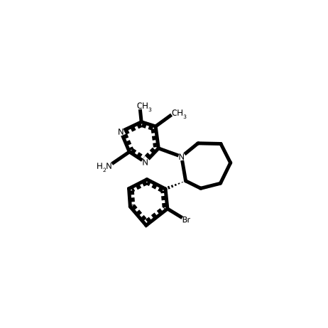 Cc1nc(N)nc(N2CCCCC[C@@H]2c2ccccc2Br)c1C